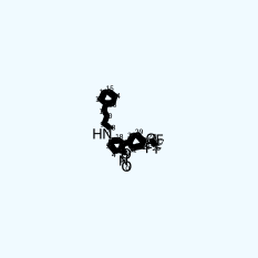 O=NOc1ccc(NCCCCc2ccccc2)cc1-c1ccc(OC(F)(F)F)cc1